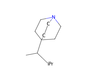 CC(C)C(C)C12CCN(CC1)CC2